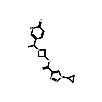 CC(c1ccc(=O)[nH]c1)N1CC(NC(=O)c2cn(C3CC3)nn2)C1